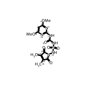 COc1cc(OC)nc(NC(=O)NS(=O)(=O)NN2C(=O)C(C)=C(C)C2=O)n1